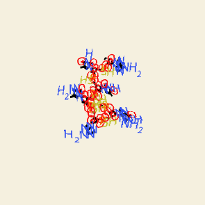 CC[C@H]1O[C@@H](n2cnc3c(N)ncnc32)CC1OP(=O)(S)OC[C@H]1O[C@@H](n2cc(C)c(=O)[nH]c2=O)CC1OP(=O)(S)OC[C@H]1O[C@@H](n2cc(C)c(=O)[nH]c2=O)CC1OP(=O)(S)OC[C@H]1O[C@@H](n2cc(C)c(N)nc2=O)CC1OP(=O)(S)OC[C@H]1O[C@@H](n2cnc3c(N)ncnc32)CC1OP(=O)(S)OC[C@H]1O[C@@H](n2cnc3c(=O)[nH]c(N)nc32)CC1OP(=O)(S)OC